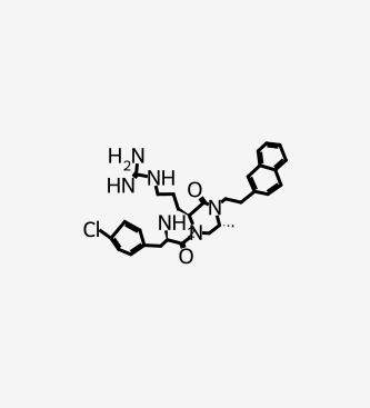 C[C@@H]1CN(C(=O)[C@H](N)Cc2ccc(Cl)cc2)[C@@H](CCCNC(=N)N)C(=O)N1CCc1ccc2ccccc2c1